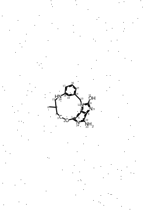 CC1CCOc2cc3c(nc(O)n3Cc3cccc(c3)NC1)c(N)n2